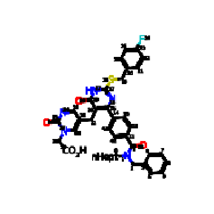 CCCCCCCN(Cc1ccccc1)C(=O)c1ccc(-c2nc(SCc3ccc(F)cc3)[nH]c(=O)c2Cc2cnc(=O)n(CC(=O)O)c2)cc1